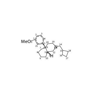 COc1cccc([C@]23CCCC[C@H]2CN(CC2CCC2)CC3)c1